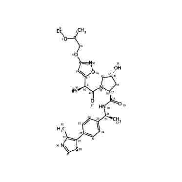 CCOC(C)COc1cc([C@@H](C(=O)N2C[C@H](O)C[C@H]2C(=O)N[C@@H](C)c2ccc(-c3scnc3C)cc2)C(C)C)on1